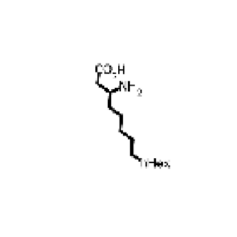 CCCCCCCCCCCC(N)CC(=O)O